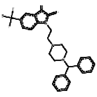 O=c1[nH]c2cc(C(F)(F)F)ccc2n1CCN1CCN(C(c2ccccc2)c2ccccc2)CC1